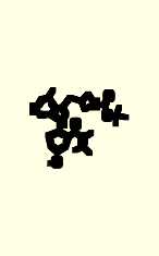 COc1ccc(-n2cc(CC3CN(C(=O)OC(C)(C)C)C3)c3c(C)cncc32)c(C(=O)N(C)C(C)C)c1